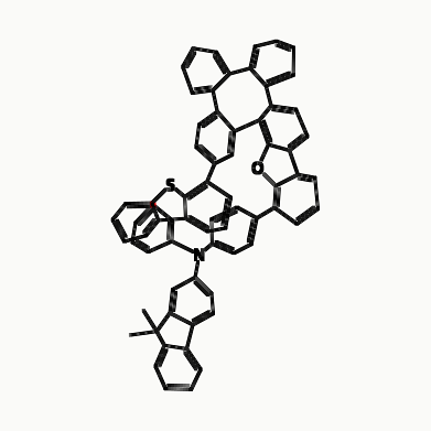 CC1(C)c2ccccc2-c2ccc(N(c3ccccc3)c3ccc(-c4cccc5c4oc4c6c(ccc45)-c4ccccc4-c4ccccc4-c4ccc(-c5cccc7c5sc5ccccc57)cc4-6)cc3)cc21